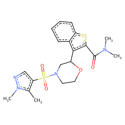 Cc1c(S(=O)(=O)N2CCOC(c3c(C(=O)N(C)C)sc4ccccc34)C2)cnn1C